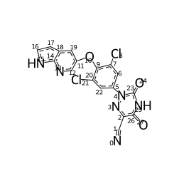 N#Cc1nn(-c2cc(Cl)c(Oc3cnc4[nH]ccc4c3)c(Cl)c2)c(=O)[nH]c1=O